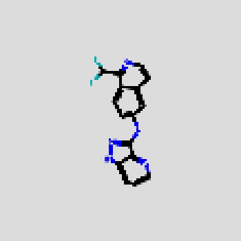 FC(F)c1nccc2cc(Nc3n[nH]c4cccnc34)ccc12